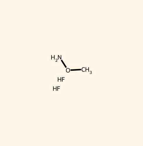 CON.F.F